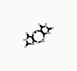 O=c1[nH]c2c(c(=O)[nH]1)/N=N\c1c([nH]c(=O)[nH]c1=O)ONO2